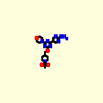 CS(=O)(=O)N1CCC(COc2nc(-c3cnc(N)nc3)nc(N3CCOCC3)n2)CC1